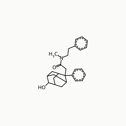 CN(CCc1ccccc1)C(=O)CC1(c2ccccc2)C2CC3CC1CC(C2)C3O